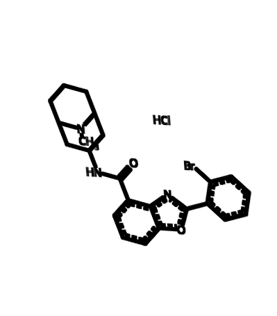 CN1C2CCCC1CC(NC(=O)c1cccc3oc(-c4ccccc4Br)nc13)C2.Cl